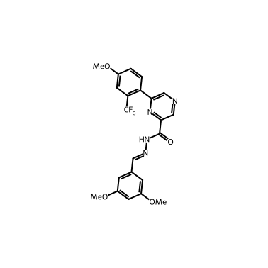 COc1cc(/C=N/NC(=O)c2cncc(-c3ccc(OC)cc3C(F)(F)F)n2)cc(OC)c1